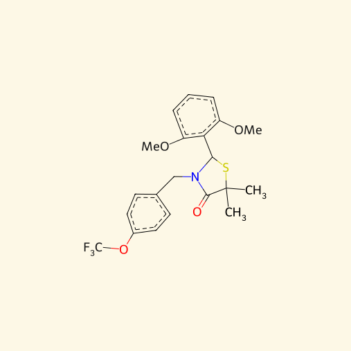 COc1cccc(OC)c1C1SC(C)(C)C(=O)N1Cc1ccc(OC(F)(F)F)cc1